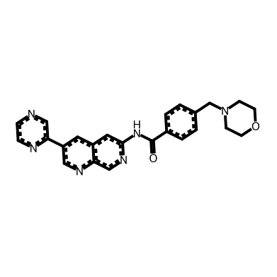 O=C(Nc1cc2cc(-c3cnccn3)cnc2cn1)c1ccc(CN2CCOCC2)cc1